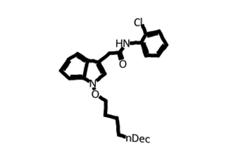 CCCCCCCCCCCCCCOn1cc(CC(=O)Nc2ccccc2Cl)c2ccccc21